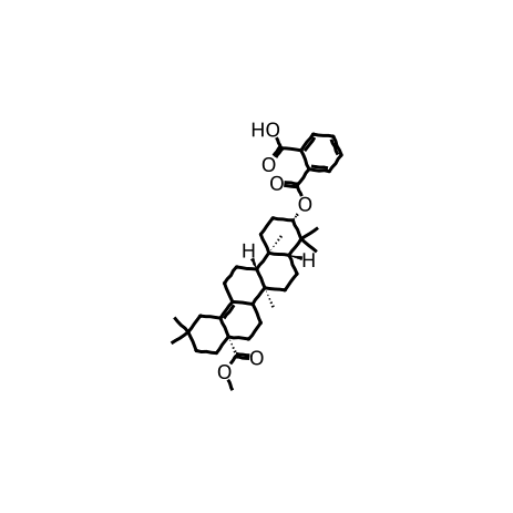 COC(=O)[C@@]12CCC3C(=C1CC(C)(C)CC2)CC[C@@H]1[C@@]2(C)CC[C@H](OC(=O)c4ccccc4C(=O)O)C(C)(C)[C@@H]2CC[C@@]31C